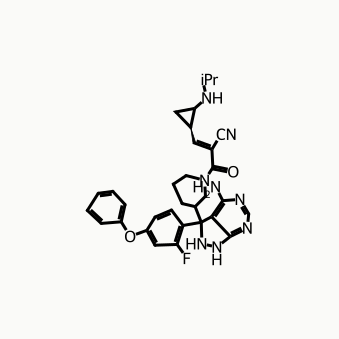 CC(C)NC1C[C@@H]1C=C(C#N)C(=O)N1CCCC(C2(c3ccc(Oc4ccccc4)cc3F)NNc3ncnc(N)c32)C1